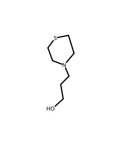 OCCCN1CCSCC1